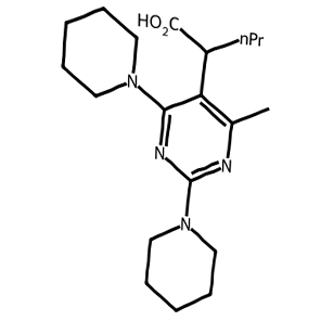 CCCC(C(=O)O)c1c(C)nc(N2CCCCC2)nc1N1CCCCC1